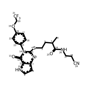 CC(CCSc1nc2cc[nH]c2c(=O)n1-c1ccc(OCC(F)(F)F)cc1)C(=O)NCCC#N